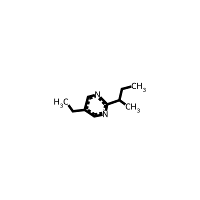 CCc1cnc(C(C)CC)nc1